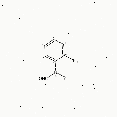 CN(C=O)c1ccccc1F